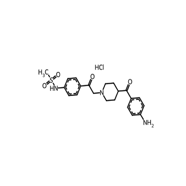 CS(=O)(=O)Nc1ccc(C(=O)CN2CCC(C(=O)c3ccc(N)cc3)CC2)cc1.Cl